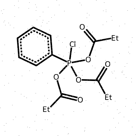 CCC(=O)OP(Cl)(OC(=O)CC)(OC(=O)CC)c1ccccc1